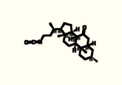 C[C@@H]1CC[C@@]2(C)[C@H](CC(=O)[C@@H]3[C@@H]2CC[C@]2(C)[C@@H]([C@H](C)CCN=C=O)CC[C@@H]32)C1